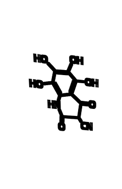 N#CC1C(=O)Nc2c(O)c(O)c(O)c(O)c2C1=O